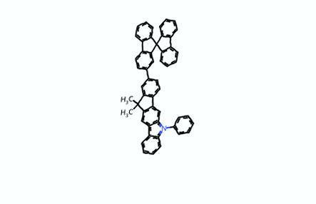 CC1(C)c2cc(-c3ccc4c(c3)C3(c5ccccc5-c5ccccc53)c3ccccc3-4)ccc2-c2cc3c(cc21)c1ccccc1n3-c1ccccc1